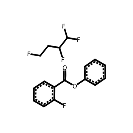 FCCC(F)C(F)F.O=C(Oc1ccccc1)c1ccccc1F